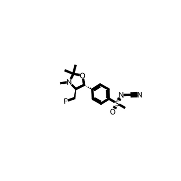 CN1[C@H](CF)[C@@H](c2ccc(S(C)(=O)=NC#N)cc2)OC1(C)C